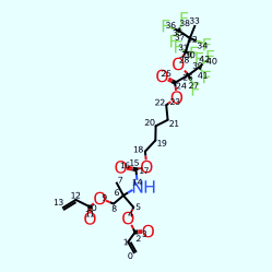 C=CC(=O)OCC(C)(COC(=O)C=C)NC(=O)OCCCCCOC(=O)C(F)(OC(F)(F)C(C)(F)C(F)(F)F)C(F)(F)F